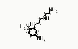 NCCNCCNc1cc(N)ccc1N